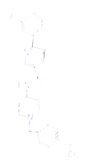 CCOc1ccc(CN2CCC(NC(=O)c3ccc(-c4cccc(F)c4)nc3)CC2)cc1